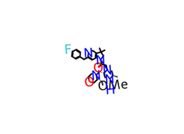 COC[C@@H]1COCCN1C[C@H]1CN[C@H](C)CN1CC(=O)N1CC(C)(C)c2cnc(Cc3ccc(F)cc3)cc21